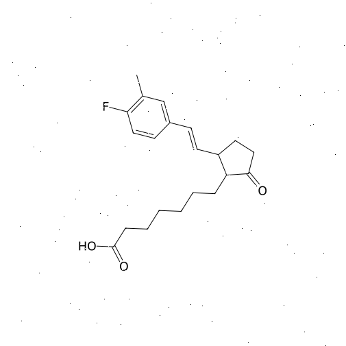 Cc1cc(C=CC2CCC(=O)C2CCCCCCC(=O)O)ccc1F